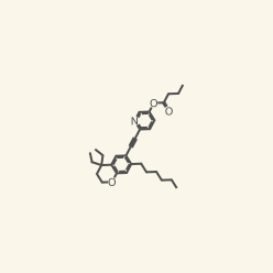 CCCCCCc1cc2c(cc1C#Cc1ccc(OC(=O)CCC)cn1)C(CC)(CC)CCO2